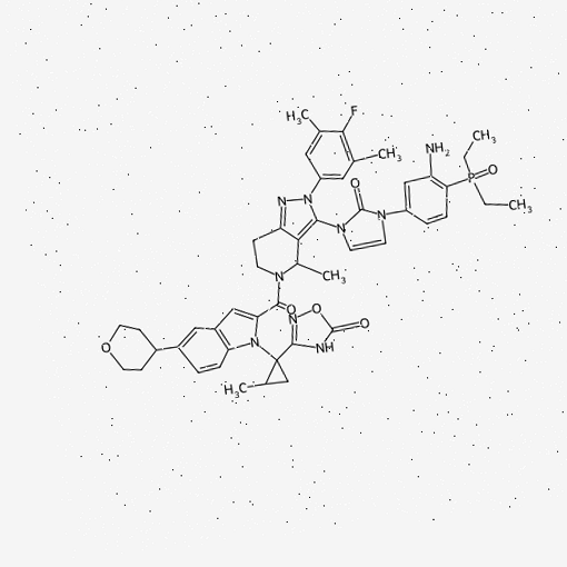 CCP(=O)(CC)c1ccc(-n2ccn(-c3c4c(nn3-c3cc(C)c(F)c(C)c3)CCN(C(=O)c3cc5cc(C6CCOCC6)ccc5n3C3(c5noc(=O)[nH]5)CC3C)C4C)c2=O)cc1N